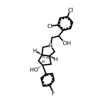 OC(CN1C[C@@H]2C[C@@](O)(c3ccc(F)cc3)C[C@@H]2C1)c1ccc(Cl)cc1Cl